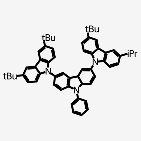 CC(C)c1ccc2c(c1)c1cc(C(C)(C)C)ccc1n2C1=CC2c3cc(-n4c5ccc(C(C)(C)C)cc5c5cc(C(C)(C)C)ccc54)ccc3N(c3ccccc3)C2C=C1